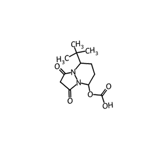 CC(C)(C)C1CCC(OC(=O)O)N2C(=O)CC(=O)N12